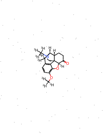 [2H]C([2H])([2H])Oc1ccc2c3c1OC1([2H])C(=O)CC[C@H]4[C@H](N(C([2H])([2H])[2H])CC[C@@]341)C2([2H])[2H]